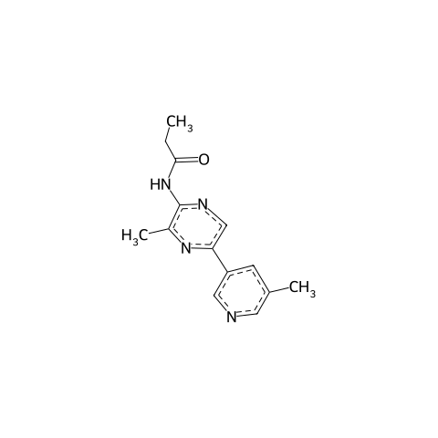 CCC(=O)Nc1ncc(-c2cncc(C)c2)nc1C